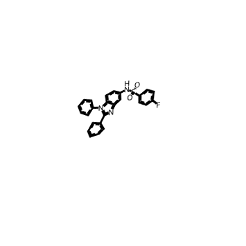 O=S(=O)(Nc1ccc2c(c1)nc(-c1ccccc1)n2-c1ccccc1)c1ccc(F)cc1